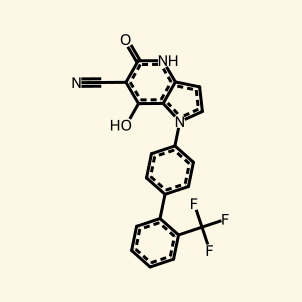 N#Cc1c(O)c2c(ccn2-c2ccc(-c3ccccc3C(F)(F)F)cc2)[nH]c1=O